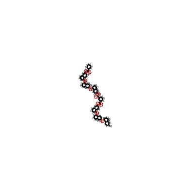 Cc1ccc2c(Oc3ccc4c(Oc5cccc6cc(OC(=O)c7cccc(C(=O)Oc8ccc9c(Oc%10ccc%11c(Oc%12cccc%13cc(OC(=O)c%14ccccc%14)ccc%12%13)cccc%11c%10)cccc9c8)c7)ccc56)cccc4c3)cccc2c1